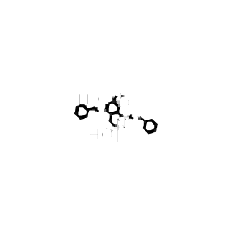 Cc1c(OCc2ccccc2)c2c(c3c1OCO3)[C@H](COCc1ccccc1)N[C@H](CO)C2